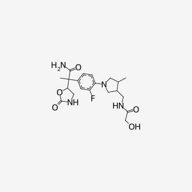 CC1CN(c2ccc(C(C)(C(N)=O)C3CNC(=O)O3)cc2F)CC1CNC(=O)CO